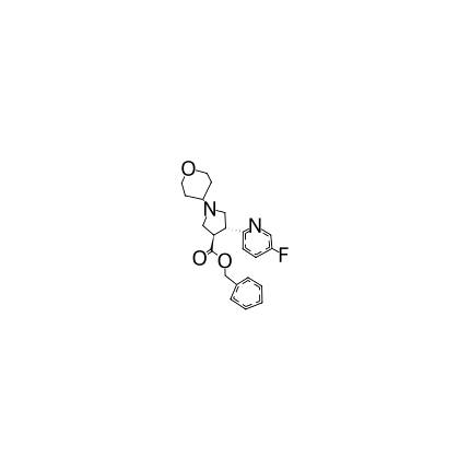 O=C(OCc1ccccc1)[C@H]1CN(C2CCOCC2)C[C@@H]1c1ccc(F)cn1